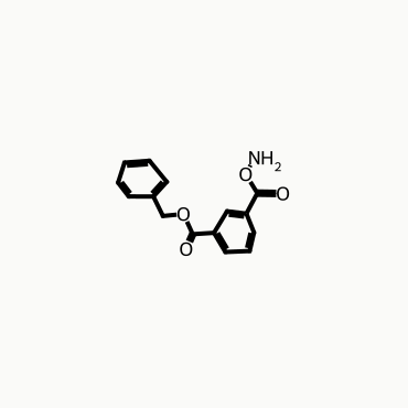 NOC(=O)c1cccc(C(=O)OCc2ccccc2)c1